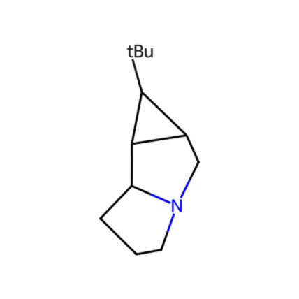 CC(C)(C)C1C2CN3CCCC3C21